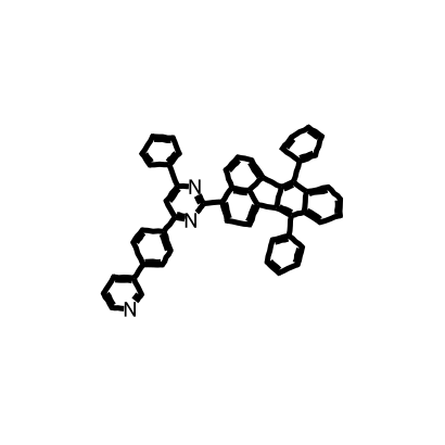 c1ccc(-c2cc(-c3ccc(-c4cccnc4)cc3)nc(-c3ccc4c5c(cccc35)-c3c-4c(-c4ccccc4)c4ccccc4c3-c3ccccc3)n2)cc1